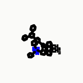 CC1(C)c2ccccc2C2(c3ccc(-c4ccc(-c5cc(-c6ccccc6)cc(-c6ccccc6)c5)cc4)cc3-c3c(-c4nc(-c5ccccc5)nc(-c5ccccc5)n4)cccc32)c2ccccc21